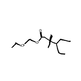 CCOCOC(=O)C(C)(C)C(CC)CC